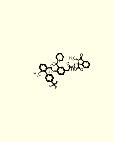 Cc1cccc(C(=O)Nc2ccc(CC(=O)OC[C@@]3(C(=O)O)c4ccccc4C(=O)N3C)cc2C(=O)N2CCCCC2)c1-c1ccc(C(F)(F)F)cc1